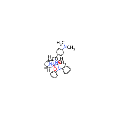 CN(Cc1ccc(N(C)C)cc1)C(=O)N1[C@H]2CC[C@@H]1[C@@H](C(=O)O)N(C(=O)N(c1ccccc1)c1ccccc1)C2